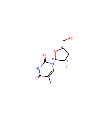 O=c1[nH]c(=O)n([C@@H]2O[C@H](CO)C[C@@H]2F)cc1I